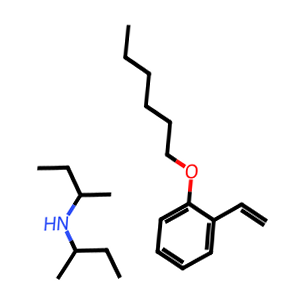 C=Cc1ccccc1OCCCCCC.CCC(C)NC(C)CC